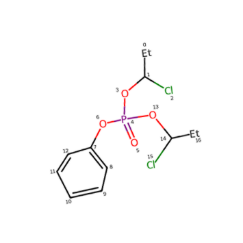 CCC(Cl)OP(=O)(Oc1ccccc1)OC(Cl)CC